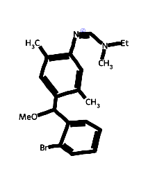 CCN(C)/C=N\c1cc(C)c(C(OC)c2ccccc2Br)cc1C